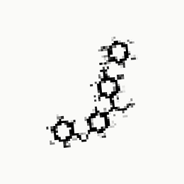 [CH2]CC(c1ccc(Oc2ccccc2)cc1)c1ccc(Oc2ccccc2)cc1